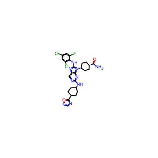 NC(=O)[C@H]1CC[C@@H](n2c(Nc3c(F)cc(Cl)cc3Cl)nc3cnc(NC4CCC(c5ncno5)CC4)nc32)CC1